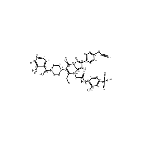 CCc1c(N2CCN(C(=O)c3ncnc(C)c3O)CC2)c(=O)n2nc(-c3ccc(CC#N)cc3)nc2n1CC(=O)Nc1ccc(C(F)(F)F)cc1Cl